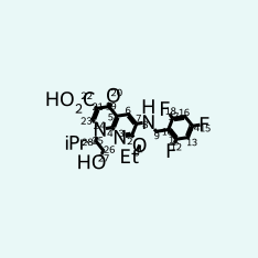 CCOc1nc2c(cc1NCc1c(F)cc(F)cc1F)c(=O)c(C(=O)O)cn2[C@H](CO)C(C)C